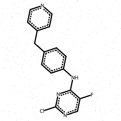 Fc1cnc(Cl)nc1Nc1ccc(Cc2ccncc2)cc1